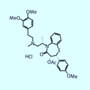 COc1ccc([C@H]2Sc3ccccc3N([C@@H](C)CN(C)CCc3ccc(OC)c(OC)c3)C(=O)[C@H]2OC(C)=O)cc1.Cl